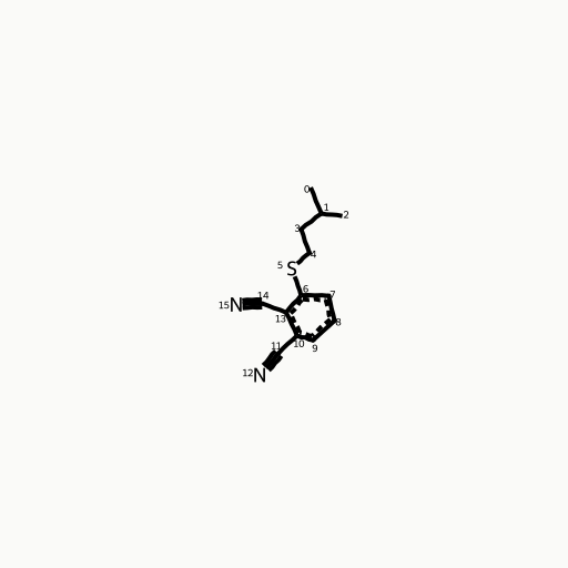 CC(C)CCSc1cccc(C#N)c1C#N